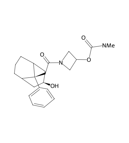 CNC(=O)OC1CN(C(=O)C[C@]2(c3ccccc3)C3CCCC2C[C@H](O)C3)C1